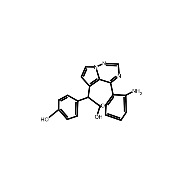 Nc1ccccc1-c1ncnn2ccc(C(C(=O)O)c3ccc(O)cc3)c12